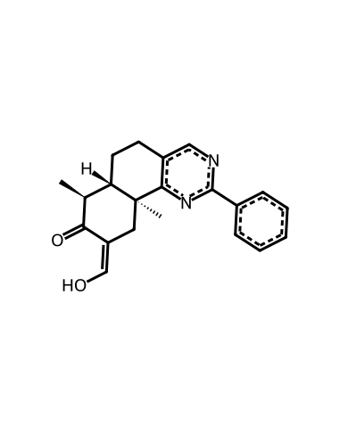 C[C@@H]1C(=O)/C(=C\O)C[C@]2(C)c3nc(-c4ccccc4)ncc3CC[C@@H]12